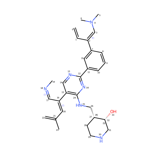 C=C/C(=C\N(C)C)c1cccc(-c2ncc(C(/C=N\C)=C/C(=C)C)c(NC[C@H]3CCNC[C@H]3O)n2)c1